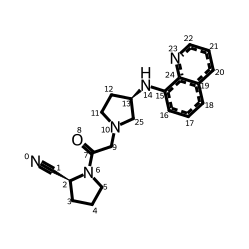 N#C[C@@H]1CCCN1C(=O)CN1CC[C@@H](Nc2cccc3cccnc23)C1